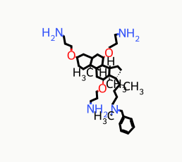 C[C@H](CCCN(C)Cc1ccccc1)[C@H]1CC[C@H]2C3[C@H](OCCCN)CC4C[C@H](OCCCN)CC[C@]4(C)[C@H]3C[C@H](OCCCN)[C@]12C